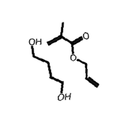 C=CCOC(=O)C(=C)C.OCCCCO